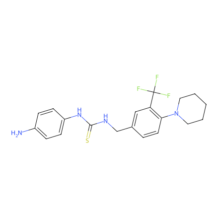 Nc1ccc(NC(=S)NCc2ccc(N3CCCCC3)c(C(F)(F)F)c2)cc1